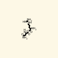 N=C(N)NCCC[C@H](N)C(=O)OC(=O)[C@@H](N)CC(N)=O